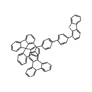 c1ccc2c(c1)-c1ccccc1C21c2ccccc2-c2cccc(N(c3ccc(-c4ccc(-c5cccc6c5sc5ccccc56)cc4)cc3)c3ccc4c5ccccc5c5ccccc5c4c3)c21